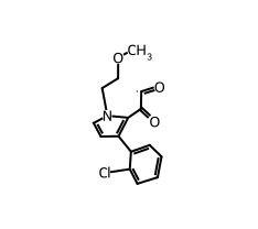 COCCn1ccc(-c2ccccc2Cl)c1C(=O)[C]=O